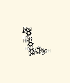 Cc1nc(Nc2cccc(NC(=O)Nc3ccc(Cl)c(C(F)(F)F)c3)c2)cc(N2CCN(CC(=O)O)CC2)n1